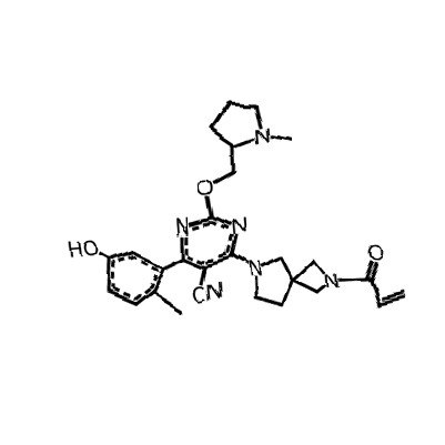 C=CC(=O)N1CC2(CCN(c3nc(OCC4CCCN4C)nc(-c4cc(O)ccc4C)c3C#N)C2)C1